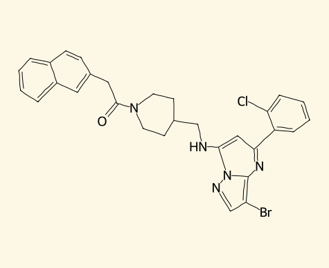 O=C(Cc1ccc2ccccc2c1)N1CCC(CNc2cc(-c3ccccc3Cl)nc3c(Br)cnn23)CC1